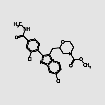 CNC(=O)c1ccc(-c2nc3cc(Cl)ccn3c2CC2CN(C(=O)OC)CCO2)c(Cl)c1